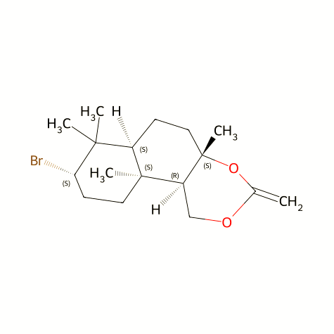 C=C1OC[C@H]2[C@@]3(C)CC[C@H](Br)C(C)(C)[C@H]3CC[C@]2(C)O1